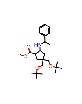 COC(=O)C1CC(COC(C)(C)C)(COC(C)(C)C)CC1NC(C)c1ccccc1